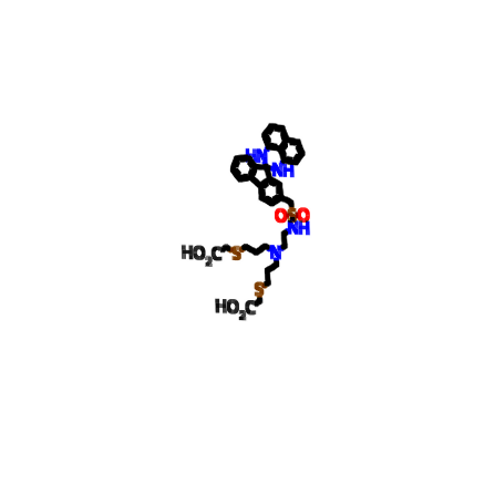 O=C(O)CSCCCN(CCCSCC(=O)O)CCNS(=O)(=O)Cc1ccc2c(c1)C1(Nc3cccc4cccc(c34)N1)c1ccccc1-2